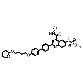 CS(=O)(=O)Nc1ccc2nc(-c3ccc(-c4ccc(OCCCCOC5CCCCO5)cc4)cc3)cc(C(=O)NN)c2c1